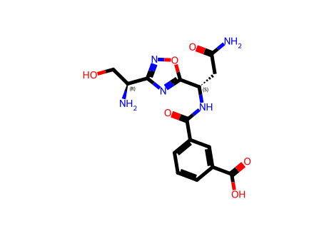 NC(=O)C[C@H](NC(=O)c1cccc(C(=O)O)c1)c1nc([C@@H](N)CO)no1